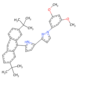 COc1cc(OC)cc(-n2ccc(-c3ccc(-c4c5cc(C(C)(C)C)ccc5cc5ccc(C(C)(C)C)cc45)[nH]3)n2)c1